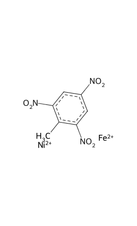 Cc1c([N+](=O)[O-])cc([N+](=O)[O-])cc1[N+](=O)[O-].[Fe+2].[Ni+2]